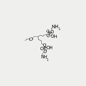 CCOCC(CCCOP(=O)(O)OCN)CCCOP(=O)(O)OCN